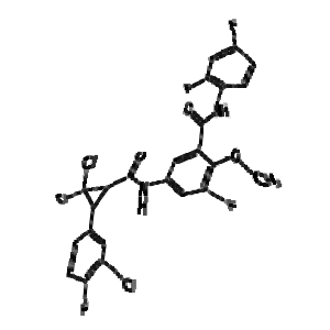 COc1c(F)cc(NC(=O)C2C(c3ccc(F)c(Cl)c3)C2(Cl)Cl)cc1C(=O)Nc1ccc(F)cc1F